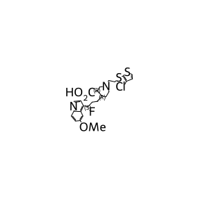 COc1ccc2nccc([C@@H](F)CC[C@@H]3CCN(CCSc4sccc4Cl)C[C@@H]3C(=O)O)c2c1